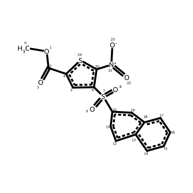 COC(=O)c1cc(S(=O)(=O)c2ccc3ccccc3c2)c([N+](=O)[O-])s1